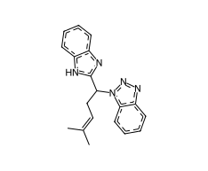 CC(C)=CCC(c1nc2ccccc2[nH]1)n1nnc2ccccc21